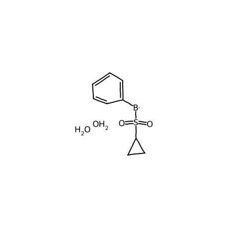 O.O.O=S(=O)([B]c1ccccc1)C1CC1